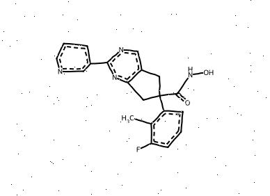 Cc1c(F)cccc1C1(C(=O)NO)Cc2cnc(-c3cccnc3)nc2C1